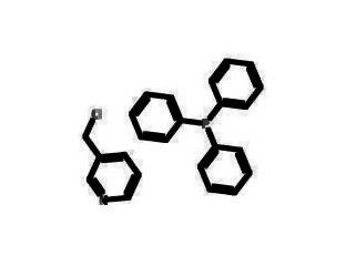 ClCc1cccnc1.c1ccc(P(c2ccccc2)c2ccccc2)cc1